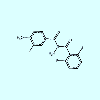 Cc1ccc(C(=O)N(N)C(=O)c2c(F)cccc2I)cc1I